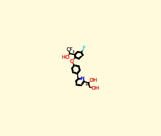 OC[C@@H](O)c1cccc(-c2ccc(Oc3ccc(F)cc3C(O)C(F)(F)F)cc2)n1